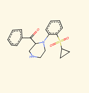 O=C(c1ccccc1)C1CNCCN1c1ccccc1S(=O)(=O)C1CC1